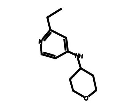 CCc1cc(NC2CCOCC2)ccn1